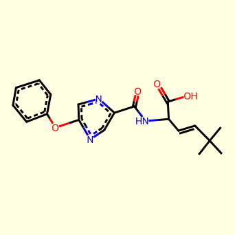 CC(C)(C)/C=C/C(NC(=O)c1cnc(Oc2ccccc2)cn1)C(=O)O